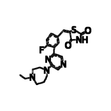 CCN1CCCN(c2cncc(-c3cc(C=C4SC(=O)NC4=O)ccc3F)n2)CC1